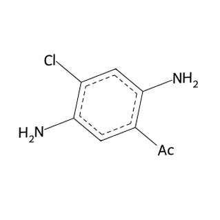 CC(=O)c1cc(N)c(Cl)cc1N